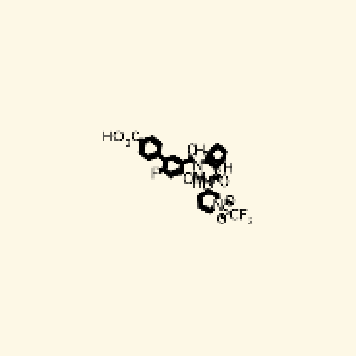 COc1cc(F)c(-c2ccc(C(=O)O)cc2)cc1C(=O)N[C@@H]1[C@H]2CC[C@H](C2)[C@@H]1C(=O)N[C@H]1CCCN(S(=O)(=O)C(F)(F)F)C1